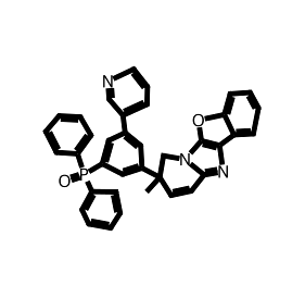 CC1(c2cc(-c3cccnc3)cc(P(=O)(c3ccccc3)c3ccccc3)c2)C=Cc2nc3c4ccccc4oc3n2C1